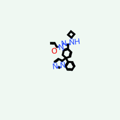 C=CC(=O)n1nc(NC2CCC2)c2c1CC(c1ccccc1)(c1ccncn1)C=C2